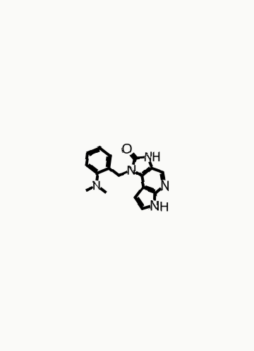 CN(C)c1ccccc1Cn1c(=O)[nH]c2cnc3[nH]ccc3c21